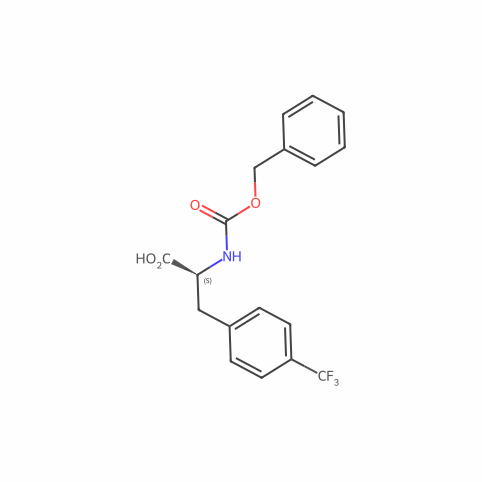 O=C(N[C@@H](Cc1ccc(C(F)(F)F)cc1)C(=O)O)OCc1ccccc1